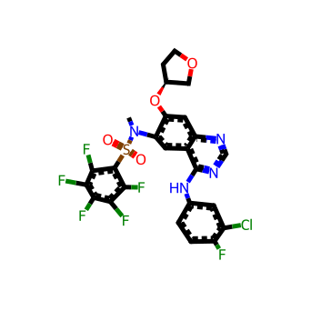 CN(c1cc2c(Nc3ccc(F)c(Cl)c3)ncnc2cc1O[C@H]1CCOC1)S(=O)(=O)c1c(F)c(F)c(F)c(F)c1F